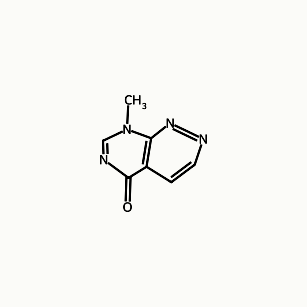 Cn1cnc(=O)c2ccnnc21